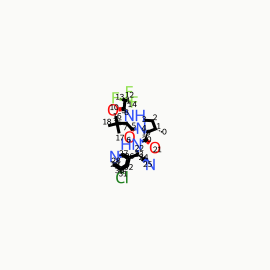 C[C@H]1CCN(C(=O)[C@@H](NC(=O)C(F)(F)F)C(C)(C)C)[C@@H]1C(=O)N[C@@H](C#N)c1cncc(Cl)c1